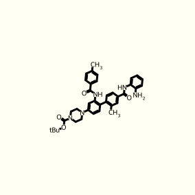 Cc1ccc(C(=O)Nc2cc(N3CCN(C(=O)OC(C)(C)C)CC3)ccc2-c2ccc(C(=O)Nc3ccccc3N)cc2C)cc1